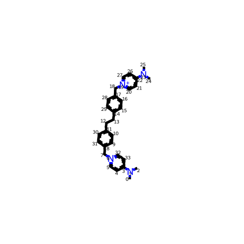 CN(C)c1cc[n+](Cc2ccc(CCc3ccc(C[n+]4ccc(N(C)C)cc4)cc3)cc2)cc1